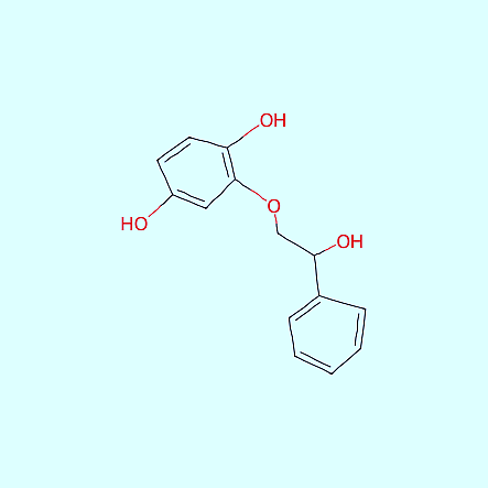 Oc1ccc(O)c(OCC(O)c2ccccc2)c1